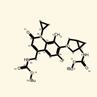 Cc1c(N2CC3CC3(NC(=O)OC(C)(C)C)C2)c(F)cc2c(CNC(=O)OC(C)(C)C)cc(=O)n(C3CC3)c12